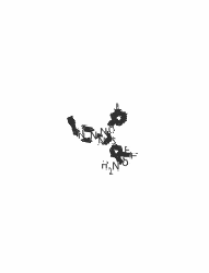 C#CCN1CCN(c2ncc(Sc3ccc(C(N)=O)c(C(F)(F)F)c3)c(OCc3cccc(I)c3)n2)CC1